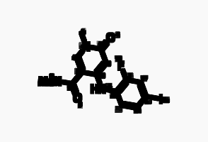 CNC(=O)c1cn(C)c(=O)cc1Nc1ccc(I)cc1F